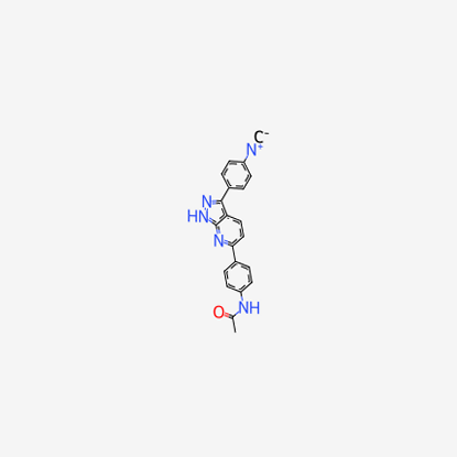 [C-]#[N+]c1ccc(-c2n[nH]c3nc(-c4ccc(NC(C)=O)cc4)ccc23)cc1